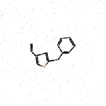 C=Cc1csc(Cc2ccccc2)c1